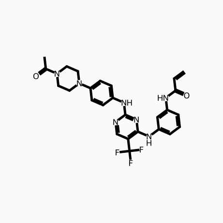 C=CC(=O)Nc1cccc(Nc2nc(Nc3ccc(N4CCN(C(C)=O)CC4)cc3)ncc2C(F)(F)F)c1